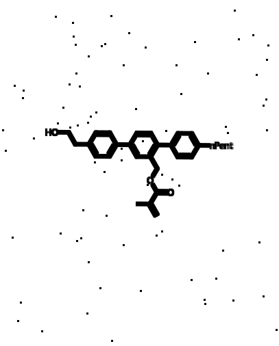 C=C(C)C(=O)OCc1cc(-c2ccc(CCO)cc2)ccc1-c1ccc(CCCCC)cc1